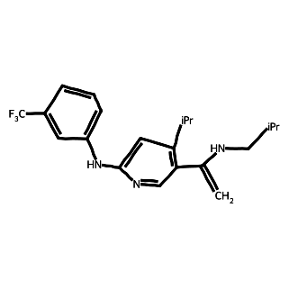 C=C(NCC(C)C)c1cnc(Nc2cccc(C(F)(F)F)c2)cc1C(C)C